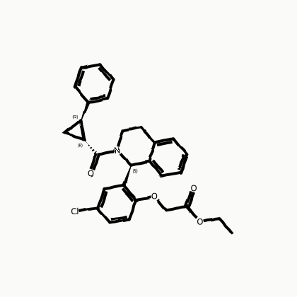 CCOC(=O)COc1ccc(Cl)cc1[C@@H]1c2ccccc2CCN1C(=O)[C@@H]1C[C@H]1c1ccccc1